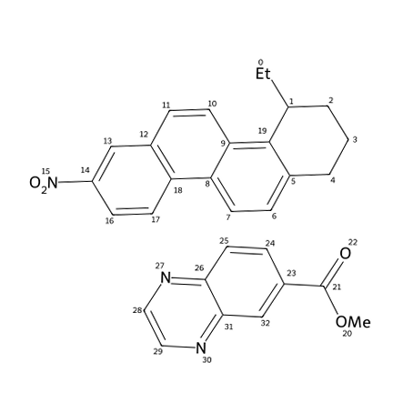 CCC1CCCc2ccc3c(ccc4cc([N+](=O)[O-])ccc43)c21.COC(=O)c1ccc2nccnc2c1